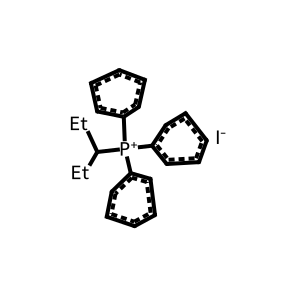 CCC(CC)[P+](c1ccccc1)(c1ccccc1)c1ccccc1.[I-]